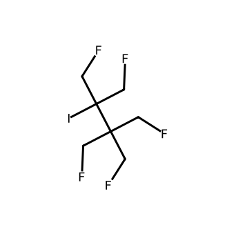 FCC(I)(CF)C(CF)(CF)CF